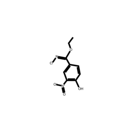 CCO/C(=N/Cl)c1ccc(O)c([N+](=O)[O-])c1